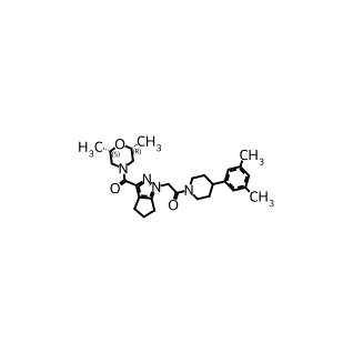 Cc1cc(C)cc(C2CCN(C(=O)Cn3nc(C(=O)N4C[C@@H](C)O[C@@H](C)C4)c4c3CCC4)CC2)c1